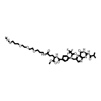 COC(=O)C(CCC(=O)NCCCOCCOCCOCCCN=[N+]=[N-])NC(=O)c1ccc(N(Cc2cnc3nc(NC(=O)C(C)C)[nH]c(=O)c3n2)C(=O)C(F)(F)F)cc1